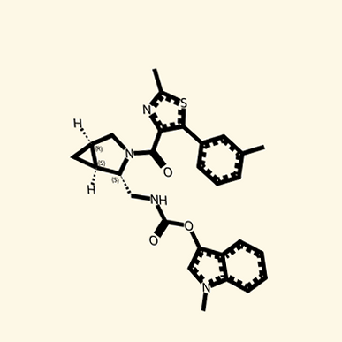 Cc1cccc(-c2sc(C)nc2C(=O)N2C[C@@H]3C[C@@H]3[C@H]2CNC(=O)Oc2cn(C)c3ccccc23)c1